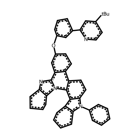 CC(C)(C)c1ccnc(-c2cccc(Oc3ccc4c(c3)c3nc5ccccc5n3c3c4ccc4c3c3ccccc3n4-c3ccccc3)c2)c1